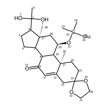 CC(O)(O)C1CCC2C3C(=O)C=C4CC5(CC[C@]4(C)C3[C@H](O[Si](C)(C)C(C)(C)C)C[C@@]21C)OCCO5